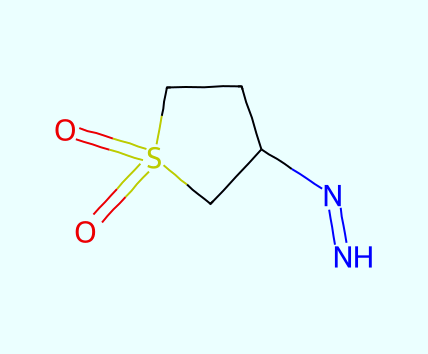 N=NC1CCS(=O)(=O)C1